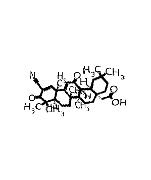 CC1(C)CC[C@@]2(CC(=O)O)CC[C@]3(C)[C@H](C(=O)C=C4[C@@]5(C)C=C(C#N)C(=O)C(C)(C)[C@@H]5CC[C@]43C)[C@H]2C1